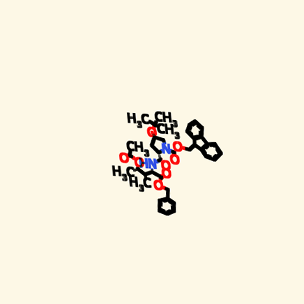 CC(=O)O[C@@H](C)[C@H](C)[C@H](NC(=O)[C@@H]1C[C@@H](OC(C)(C)C)CN1C(=O)OCC1c2ccccc2-c2ccccc21)C(=O)OCc1ccccc1